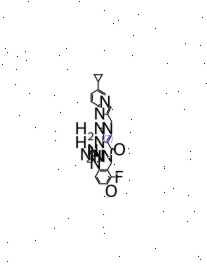 COc1ccc(-n2cnnn2)c(CNC(=O)/C(N)=C/N(N)Cc2cn3cc(C4CC4)ccc3n2)c1F